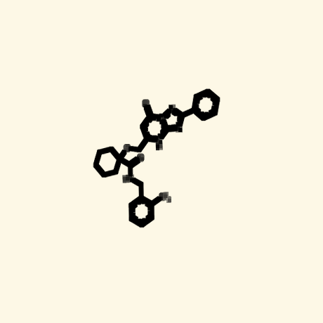 O=C(NCc1ccccc1C(F)(F)F)C1(OCc2cc(=O)n3nc(-c4ccccc4)nc3[nH]2)CCCCC1